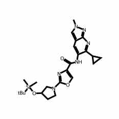 Cn1cc2cc(NC(=O)c3coc(N4CCC(O[Si](C)(C)C(C)(C)C)C4)n3)c(C3CC3)nc2n1